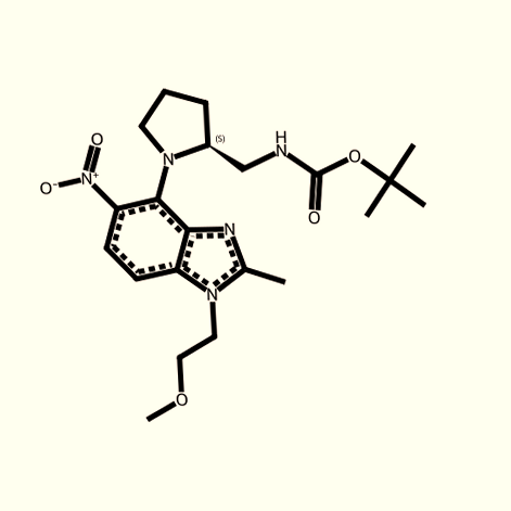 COCCn1c(C)nc2c(N3CCC[C@H]3CNC(=O)OC(C)(C)C)c([N+](=O)[O-])ccc21